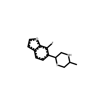 CC1CSC(c2ccc3ccoc3c2F)CN1